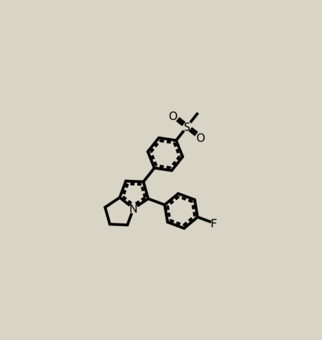 CS(=O)(=O)c1ccc(-c2cc3n(c2-c2ccc(F)cc2)CCC3)cc1